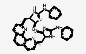 O=C1N=C(Nc2ccccc2)NC1/C=c1/ccc2ccc3cc/c(=C/C4NC(Nc5ccccc5)=NC4=O)nc3c2n1